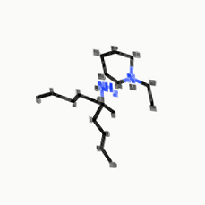 CCCCC(C)(N)CCCC.CCN1CCCCC1